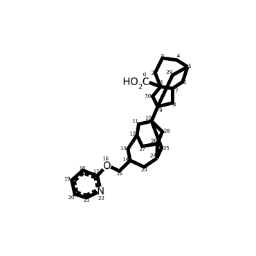 O=C(O)C12CCCC3CC1CC(C14CC5CC(COc6ccccn6)CC(C1)C(C5)C4)(C3)C2